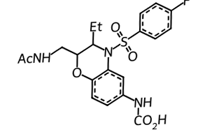 CCC1C(CNC(C)=O)Oc2ccc(NC(=O)O)cc2N1S(=O)(=O)c1ccc(F)cc1